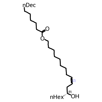 CCCCCCCCCCCCCCCC(=O)OCCCCCCCC/C=C\C[C@H](O)CCCCCC